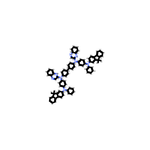 CC1(C)c2ccccc2-c2ccc(N(c3ccccc3)c3ccc(N(c4ccc(-c5ccc(N(c6ccc(N(c7ccccc7)c7ccc8c(c7)C(C)(C)c7ccccc7-8)cc6)c6cnc7ccccc7n6)cc5)cc4)c4cnc5ccccc5n4)cc3)cc21